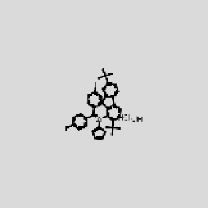 CC(C)(C)c1ccc2c(c1)Cc1c-2ccc(C(C)(C)C)[c]1[Zr]([C]1=CC=CC1)=[C](c1ccc(I)cc1)c1ccc(I)cc1.Cl.Cl